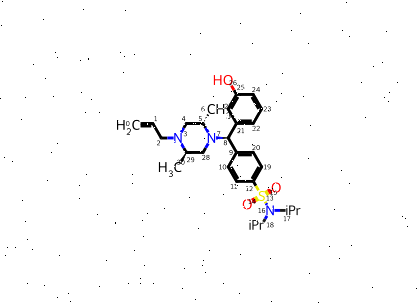 C=CCN1C[C@H](C)N([C@H](c2ccc(S(=O)(=O)N(C(C)C)C(C)C)cc2)c2cccc(O)c2)C[C@H]1C